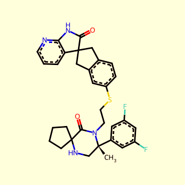 C[C@@]1(c2cc(F)cc(F)c2)CNC2(CCCC2)C(=O)N1CCSc1ccc2c(c1)CC1(C2)C(=O)Nc2ncccc21